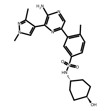 Cc1ccc(S(=O)(=O)N[C@H]2CC[C@H](O)CC2)cc1-c1cnc(N)c(-c2cn(C)nc2C)n1